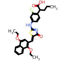 CCCC(C(=O)O)c1ccc(NC2=NC(=O)/C(=C/c3cc(OCC)c4ccccc4c3OCC)S2)cc1F